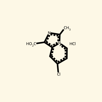 Cc1nc(C(=O)O)c2cc(Cl)ccn12.Cl